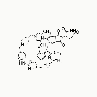 Cc1nc2c(F)cc(-c3nc(Nc4ccc(CN5CCC(CN6CC(C)N(c7ccc8c(c7)C(=O)N(C7CCC(=O)NC7=O)C8=O)C(C)C6)CC5)cn4)ncc3F)cc2n1C(C)C